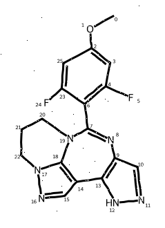 COc1cc(F)c(C2=Nc3cn[nH]c3-c3cnn4c3N2CCC4)c(F)c1